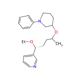 CCO[C@H](CCC(C)OC1CCCN(c2ccccc2)C1)c1cccnc1